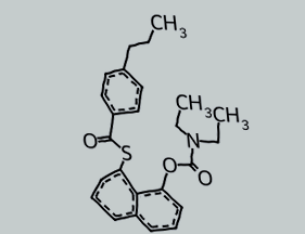 CCCc1ccc(C(=O)Sc2cccc3cccc(OC(=O)N(CC)CC)c23)cc1